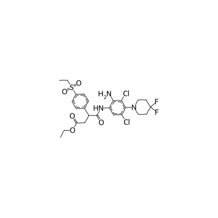 CCOC(=O)CC(C(=O)Nc1cc(Cl)c(N2CCC(F)(F)CC2)c(Cl)c1N)c1ccc(S(=O)(=O)CC)cc1